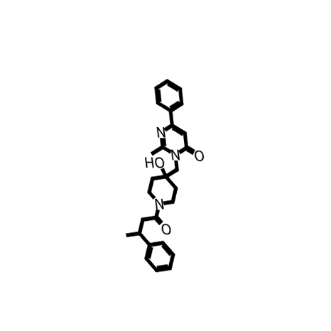 Cc1nc(-c2ccccc2)cc(=O)n1CC1(O)CCN(C(=O)CC(C)c2ccccc2)CC1